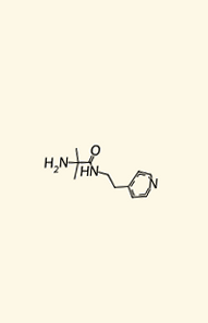 CC(C)(N)C(=O)NCCc1ccncc1